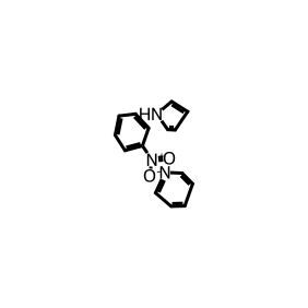 O=[N+]([O-])c1ccccc1.c1cc[nH]c1.c1ccncc1